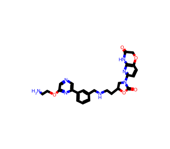 NCCOc1cncc(-c2cccc(CNCCC3CN(c4ccc5c(n4)NC(=O)CO5)C(=O)O3)c2)n1